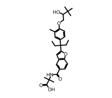 CCC(CC)(c1ccc(OCC(O)C(C)(C)C)c(C)c1)c1cc2cc(C(=O)NC(C)(C)C(=O)O)ccc2o1